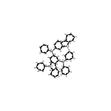 c1ccc(N(c2ccc3c(c2)oc2ccccc23)c2cc(N(c3ccccc3)c3ccccc3)c3c4ccccc4n(-c4ccccc4)c3c2)cc1